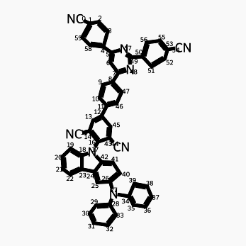 N#Cc1ccc(-c2cc(-c3ccc(-c4cc(C#N)c(-n5c6ccccc6c6cc(N(c7ccccc7)c7ccccc7)ccc65)c(C#N)c4)cc3)nc(-c3ccc(C#N)cc3)n2)cc1